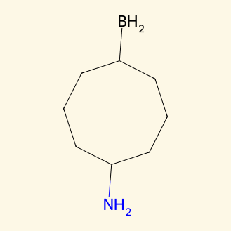 BC1CCCC(N)CCC1